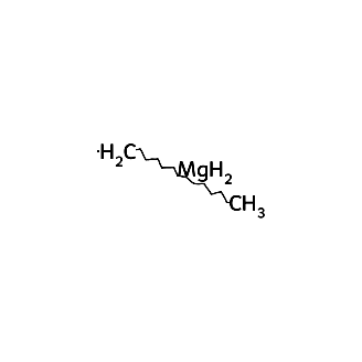 [CH2]CCCCCCCCCCCCC.[MgH2]